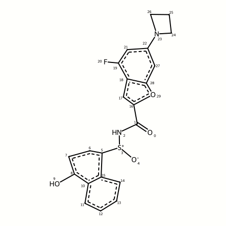 O=C(N[S+]([O-])c1ccc(O)c2ccccc12)c1cc2c(F)cc(N3CCC3)cc2o1